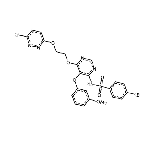 COc1cccc(Oc2c(NS(=O)(=O)c3ccc(C(C)(C)C)cc3)ncnc2OCCOc2ccc(Cl)nn2)c1